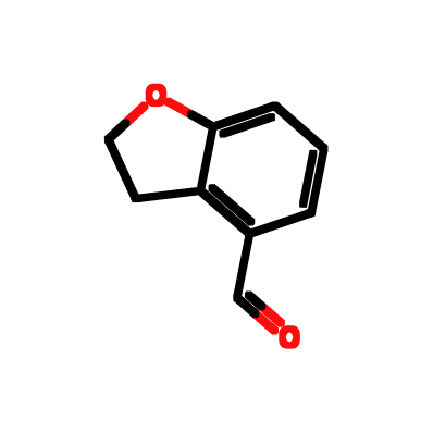 O=Cc1cccc2c1CCO2